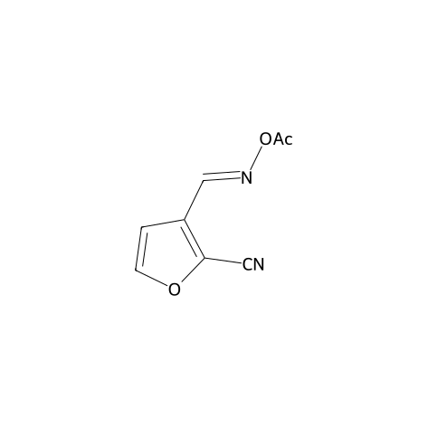 CC(=O)ON=Cc1ccoc1C#N